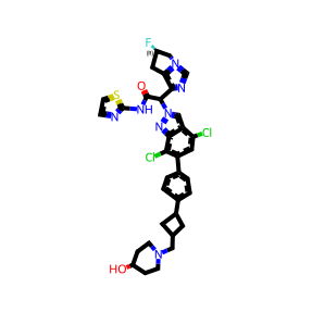 O=C(Nc1nccs1)C(c1ncn2c1C[C@@H](F)C2)n1cc2c(Cl)cc(-c3ccc(C4CC(CN5CCC(O)CC5)C4)cc3)c(Cl)c2n1